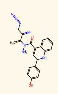 C=C(C(=N)CN=[N+]=[N-])N(N)C(=O)C1=CC(c2ccc(O)cc2)Nc2ccccc21